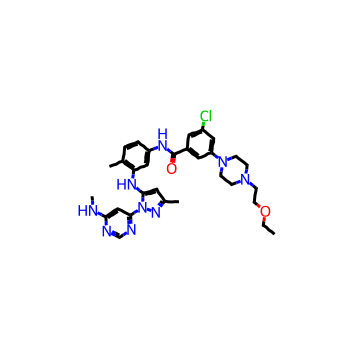 CCOCCN1CCN(c2cc(Cl)cc(C(=O)Nc3ccc(C)c(Nc4cc(C)nn4-c4cc(NC)ncn4)c3)c2)CC1